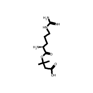 CC(C)(CC(=O)O)OC(=O)[C@@H](N)CCCNC(=N)N